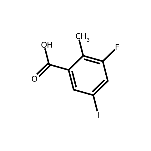 Cc1c(F)cc(I)cc1C(=O)O